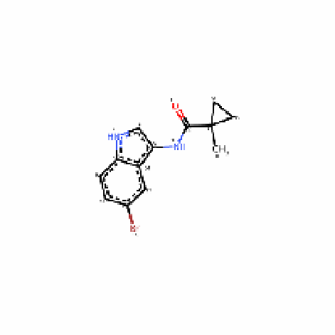 CC1(C(=O)Nc2c[nH]c3ccc(Br)cc23)CC1